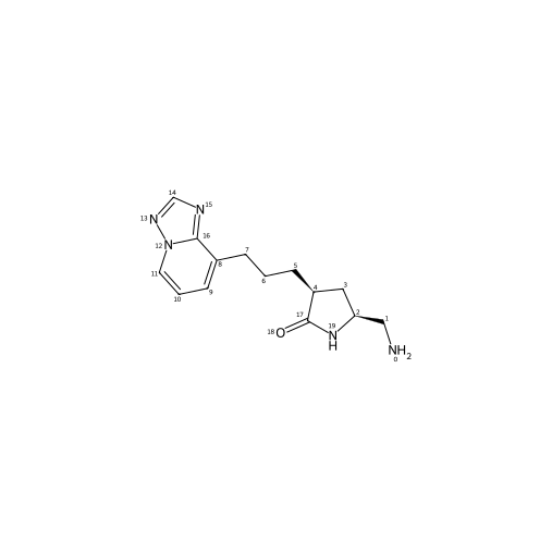 NC[C@@H]1C[C@H](CCCc2cccn3ncnc23)C(=O)N1